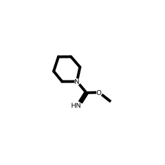 COC(=N)N1CCCCC1